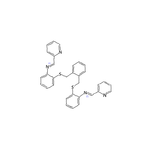 C(=N\c1ccccc1SCc1ccccc1CSc1ccccc1/N=C/c1ccccn1)/c1ccccn1